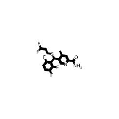 Cc1cc(C(N)=O)ncc1C(SCC=C(F)F)c1c(F)ccc(F)c1F